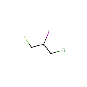 FC[C](I)CCl